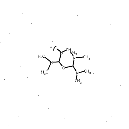 CN(C)C(OC(N(C)C)N(C)C)N(C)C